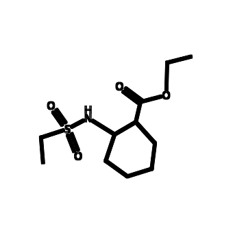 CCOC(=O)C1CCCCC1NS(=O)(=O)CC